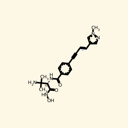 Cn1cc(/C=C/C#Cc2ccc(C(=O)N[C@H](C(=O)NO)C(C)(C)N)cc2)cn1